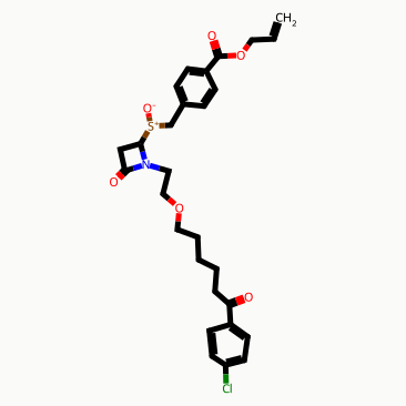 C=CCOC(=O)c1ccc(C[S+]([O-])C2CC(=O)N2CCOCCCCCC(=O)c2ccc(Cl)cc2)cc1